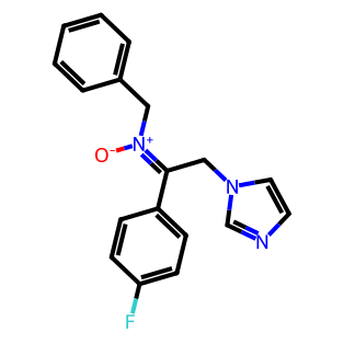 [O-][N+](Cc1ccccc1)=C(Cn1ccnc1)c1ccc(F)cc1